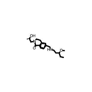 CCC(CCNCc1ccc2c(c1)CCN(C[C@@H](C)O)C2=O)OC